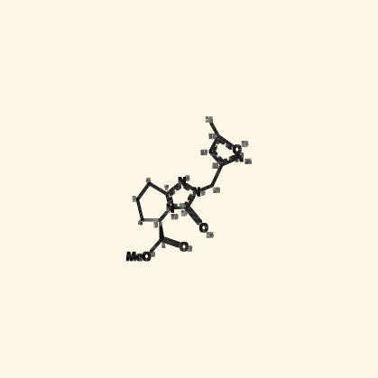 COC(=O)[C@H]1CCCc2nn(Cc3cc(C)on3)c(=O)n21